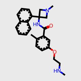 CNCCOc1ccc(C)c(C(=O)NC2(c3cccc4ccccc34)CN(C)C2)c1